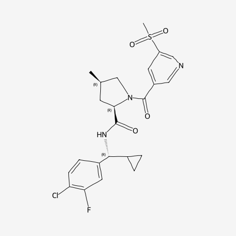 C[C@@H]1C[C@H](C(=O)N[C@@H](c2ccc(Cl)c(F)c2)C2CC2)N(C(=O)c2cncc(S(C)(=O)=O)c2)C1